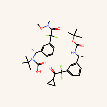 CON(C)C(=O)C(F)(F)c1cccc([C@@H](C)N(C(=O)O)C(C)(C)C)c1.C[C@@H](NC(=O)OC(C)(C)C)c1cccc(C(F)(F)C(=O)C2CC2)c1